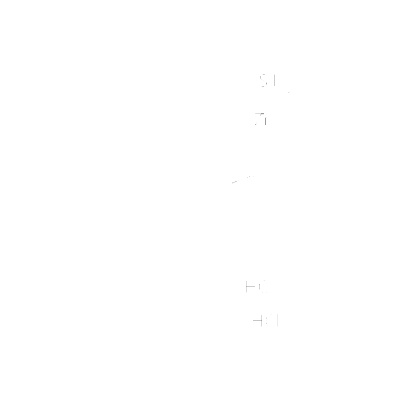 CCCCc1ccccc1C1=C[CH]([Zr]([CH3])([CH3])(=[SiH2])[C]2=C(C)C(C)=C(C)C2C)c2ccccc21.Cl.Cl